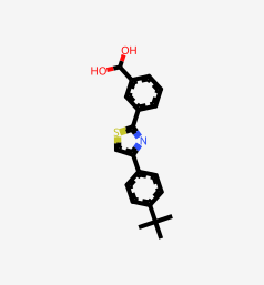 CC(C)(C)c1ccc(-c2csc(-c3cccc(C(O)O)c3)n2)cc1